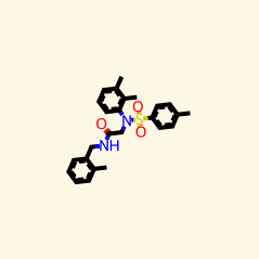 Cc1ccc(S(=O)(=O)N(CC(=O)NCc2ccccc2C)c2cccc(C)c2C)cc1